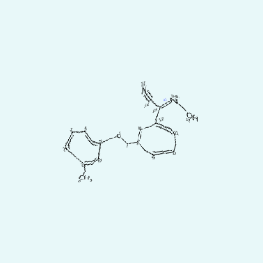 Cc1cccc(OCc2cccc(/C(C#N)=N\O)c2)c1